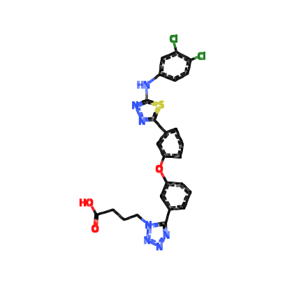 O=C(O)CCCn1nnnc1-c1cccc(Oc2cccc(-c3nnc(Nc4ccc(Cl)c(Cl)c4)s3)c2)c1